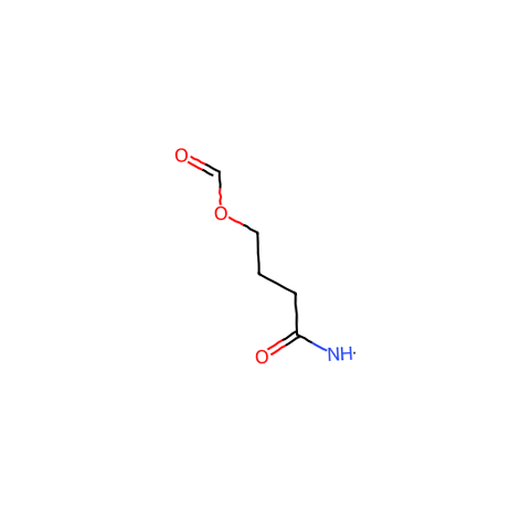 [NH]C(=O)CCCOC=O